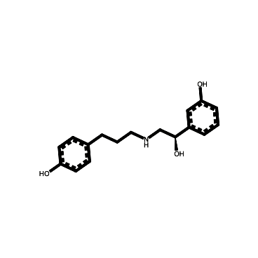 Oc1ccc(CCCNC[C@H](O)c2cccc(O)c2)cc1